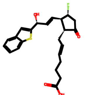 O=C(O)CCCC=CC[C@H]1C(=O)C[C@@H](F)[C@@H]1C=C[C@@H](O)c1cc2ccccc2s1